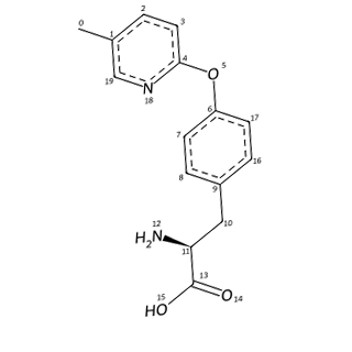 Cc1ccc(Oc2ccc(C[C@H](N)C(=O)O)cc2)nc1